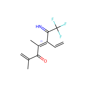 C=C/C(C(=N)C(F)(F)F)=C(/C)C(=O)C(=C)C